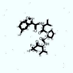 CC(C)[C@H](NC(=O)c1noc2ccc(F)cc12)C(=O)N1CCC[C@H]1C(=O)N[C@H](C(=O)C(F)(F)F)C(C)C